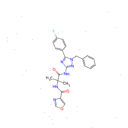 CC(C)(NC(=O)c1cocn1)C(=O)Nc1nc(-c2ccc(F)cc2)n(Cc2ccccc2)n1